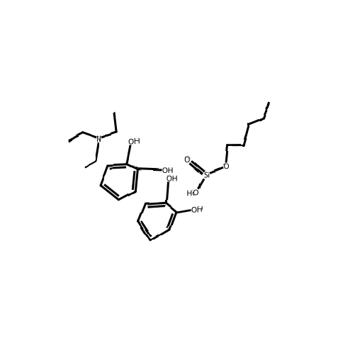 CCCCCO[Si](=O)O.CCN(CC)CC.Oc1ccccc1O.Oc1ccccc1O